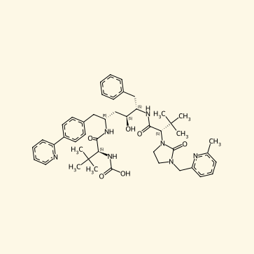 Cc1cccc(CN2CCN([C@H](C(=O)N[C@@H](Cc3ccccc3)[C@@H](O)C[C@@H](Cc3ccc(-c4ccccn4)cc3)NC(=O)[C@@H](NC(=O)O)C(C)(C)C)C(C)(C)C)C2=O)n1